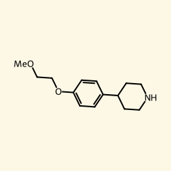 COCCOc1ccc(C2CCNCC2)cc1